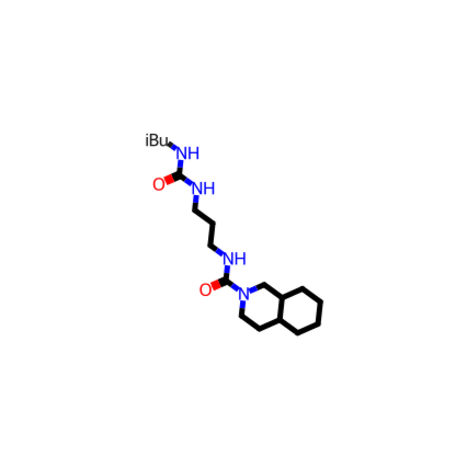 CCC(C)NC(=O)NCCCNC(=O)N1CCC2CCCCC2C1